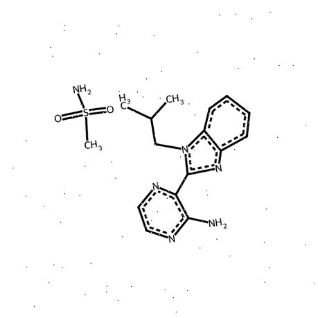 CC(C)Cn1c(-c2nccnc2N)nc2ccccc21.CS(N)(=O)=O